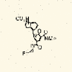 CC[C@@H]1C[C@H]1NC(=O)c1cc(C(=O)NC)c(=O)n(Cc2cccc3c2CCN3C(=O)O)c1